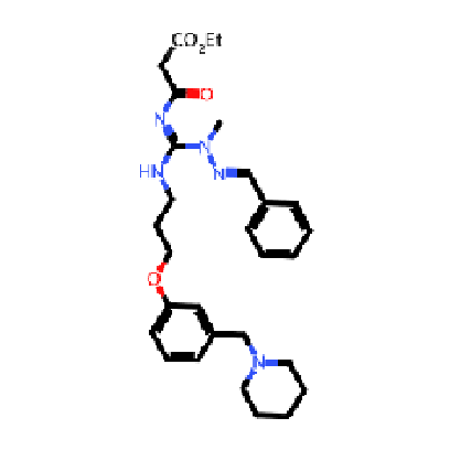 CCOC(=O)CC(=O)N=C(NCCCOc1cccc(CN2CCCCC2)c1)N(C)N=Cc1ccccc1